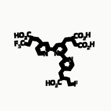 O=C(O)C/C(=C\c1cc(-c2cc(/C=C(\CCF)C(=O)O)ccn2)nc(-c2cc(/C=C(\CC(F)(F)F)C(=O)O)ccn2)c1)C(=O)O